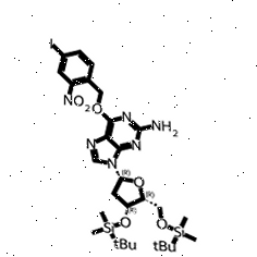 CC(C)(C)[Si](C)(C)OC[C@H]1O[C@@H](n2cnc3c(OCc4ccc(I)cc4[N+](=O)[O-])nc(N)nc32)C[C@H]1O[Si](C)(C)C(C)(C)C